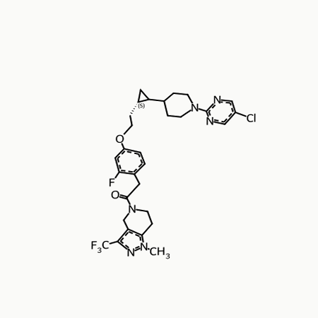 Cn1nc(C(F)(F)F)c2c1CCN(C(=O)Cc1ccc(OCC[C@@H]3CC3C3CCN(c4ncc(Cl)cn4)CC3)cc1F)C2